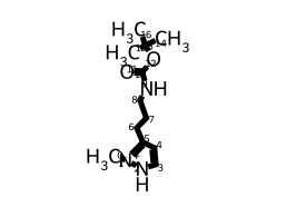 C[n+]1[nH]ccc1CCCNC(=O)OC(C)(C)C